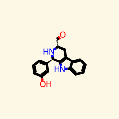 O=C[C@@H]1Cc2c([nH]c3ccccc23)[C@@H](c2cccc(O)c2)N1